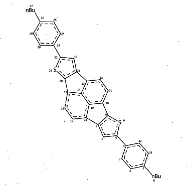 CCCCc1ccc(-c2cc3c(s2)-c2ccc4c5c(ccc-3c25)-c2sc(-c3ccc(CCCC)cc3)cc2-4)cc1